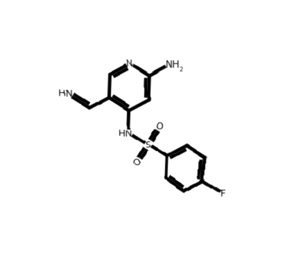 N=Cc1cnc(N)cc1NS(=O)(=O)c1ccc(F)cc1